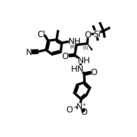 Cc1c(N[C@@H](C(=O)NNC(=O)c2ccc([N+](=O)[O-])cc2)[C@H](C)O[Si](C)(C)C(C)(C)C)ccc(C#N)c1Cl